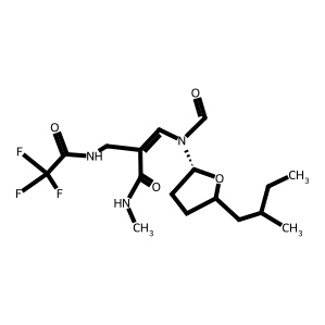 CCC(C)CC1CC[C@H](N(C=O)/C=C(/CNC(=O)C(F)(F)F)C(=O)NC)O1